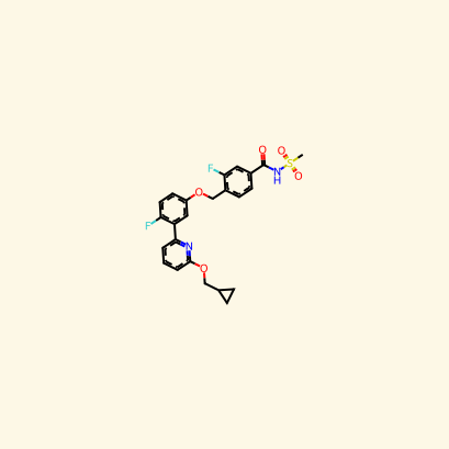 CS(=O)(=O)NC(=O)c1ccc(COc2ccc(F)c(-c3cccc(OCC4CC4)n3)c2)c(F)c1